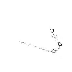 COC(=O)CCOCCOCCOCCCCCCOc1ccc([C@@H](C)NC(=O)c2cccc(NCc3nnc(-c4ccncn4)n3C)c2)cc1